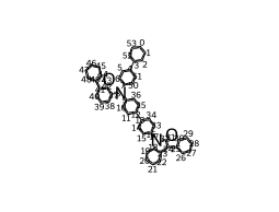 c1ccc(-c2ccc(N(c3ccc(-c4ccc(-n5c6ccccc6c6c7ccccc7oc65)cc4)cc3)c3cccc4c3oc3ccccc34)cc2)cc1